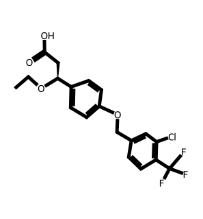 CCO[C@@H](CC(=O)O)c1ccc(OCc2ccc(C(F)(F)F)c(Cl)c2)cc1